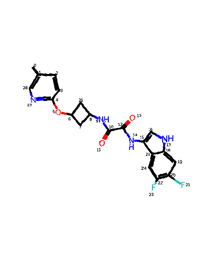 Cc1ccc(OC2CC(NC(=O)C(=O)Nc3c[nH]c4cc(F)c(F)cc34)C2)nc1